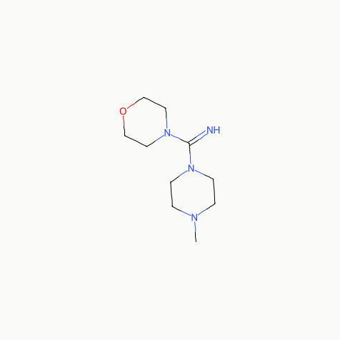 CN1CCN(C(=N)N2CCOCC2)CC1